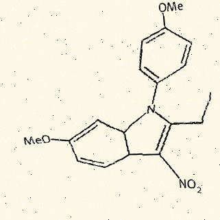 COC1=CC2C(C=C1)C([N+](=O)[O-])=C(CI)N2c1ccc(OC)cc1